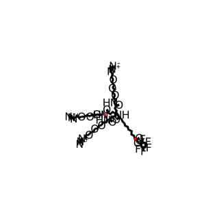 [N-]=[N+]=NCCOCCOCCOCCNC(=O)CCC(CCC(=O)NCCOCCOCCOCCN=[N+]=[N-])(CCC(=O)NCCOCCOCCOCCN=[N+]=[N-])NC(=O)CCCCCCCCCCC(=O)Oc1c(F)c(F)c(F)c(F)c1F